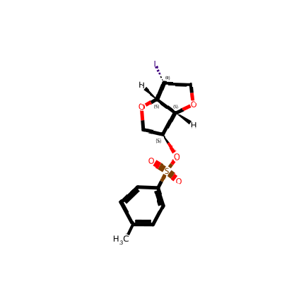 Cc1ccc(S(=O)(=O)O[C@H]2CO[C@H]3[C@@H]2OC[C@H]3I)cc1